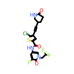 O=C1CCC(C#Cc2cc(C(=O)Nc3cc(F)c(=O)n(CC(F)F)c3)sc2Cl)CN1